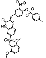 COc1cccc(OC)c1CS(=O)(=O)c1ccc2c(c1)NC(=O)C(=Cc1ccc(OS(=O)(=O)c3ccc(C)cc3)c([N+](=O)[O-])c1)S2